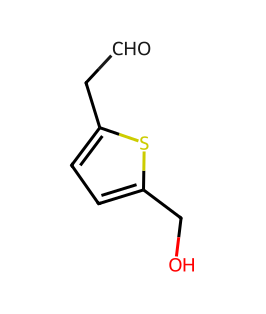 O=CCc1ccc(CO)s1